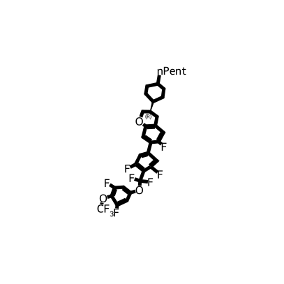 CCCCCC1CCC([C@@H]2COc3cc(-c4cc(F)c(C(F)(F)Oc5cc(F)c(OC(F)(F)F)c(F)c5)c(F)c4)c(F)cc3C2)CC1